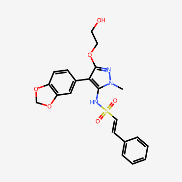 Cn1nc(OCCO)c(-c2ccc3c(c2)OCO3)c1NS(=O)(=O)C=Cc1ccccc1